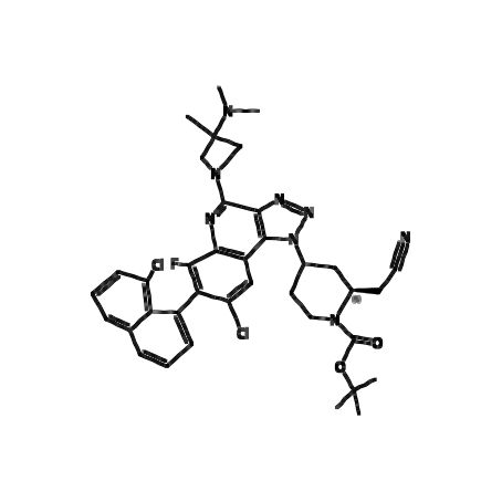 CN(C)C1(C)CN(c2nc3c(F)c(-c4cccc5cccc(Cl)c45)c(Cl)cc3c3c2nnn3C2CCN(C(=O)OC(C)(C)C)[C@H](CC#N)C2)C1